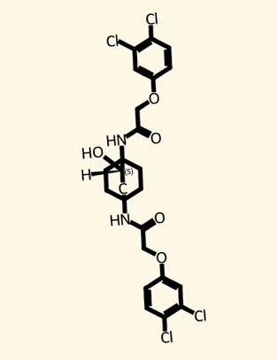 O=C(COc1ccc(Cl)c(Cl)c1)NC12CCC(NC(=O)COc3ccc(Cl)c(Cl)c3)(CC1)[C@@H](O)C2